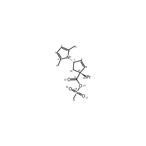 Cc1ccc(C)n1[C@@H]1C=C[C@@](C(=O)OS(C)(=O)=O)(C(C)C)C1